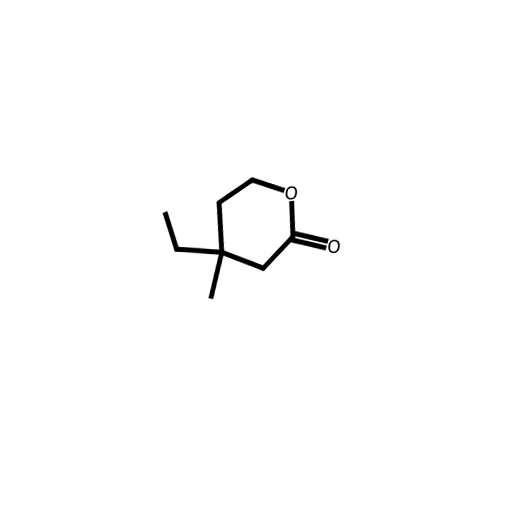 CCC1(C)CCOC(=O)C1